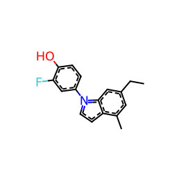 CCc1cc(C)c2ccn(-c3ccc(O)c(F)c3)c2c1